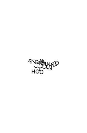 CCCC(C(=O)O)[C@H](Cc1cnc(N2CCOCC2)nc1)c1nnnn1COCC[Si](C)(C)C